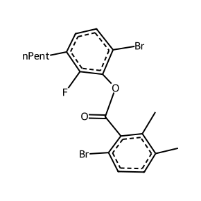 CCCCCc1ccc(Br)c(OC(=O)c2c(Br)ccc(C)c2C)c1F